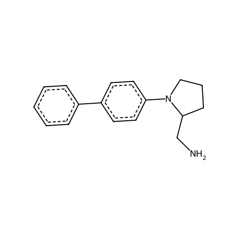 NCC1CCCN1c1ccc(-c2ccccc2)cc1